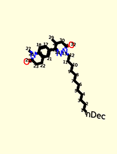 CCCCCCCCCCCCCCCCCCCCCCN1N=C(c2ccc3c(c2)CCC(=O)N3C)C(C)CC1=O